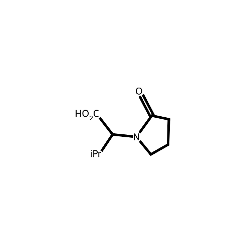 CC(C)C(C(=O)O)N1CCCC1=O